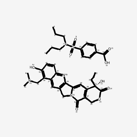 CCCN(CCC)S(=O)(=O)c1ccc(C(=O)O)cc1.CC[C@@]1(O)C(=O)OCc2c1cc1n(c2=O)Cc2cc3c(CN(C)C)c(O)ccc3nc2-1